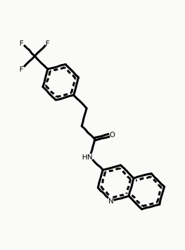 O=C(CCc1ccc(C(F)(F)F)cc1)Nc1cnc2ccccc2c1